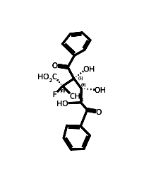 C[C@](F)(C(=O)O)[C@@](O)(C(=O)c1ccccc1)[C@H](O)C(O)C(=O)c1ccccc1